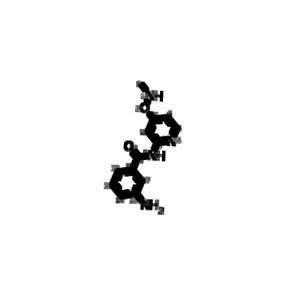 CNOc1ccnc(NC(=O)c2cccc(N)c2)c1